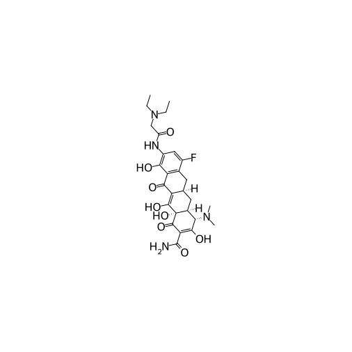 CCN(CC)CC(=O)Nc1cc(F)c2c(c1O)C(=O)C1=C(O)[C@]3(O)C(=O)C(C(N)=O)=C(O)[C@@H](N(C)C)[C@@H]3C[C@@H]1C2